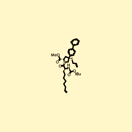 C=CCCCCCC[C@H](NC(=O)OC(C)(C)C)C(=O)N1C[C@](SCC=C)(c2ccc(-c3ccccc3)cc2)C[C@H]1C(=O)OC